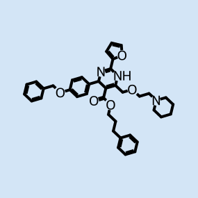 O=C(OCCCc1ccccc1)C1=C(COCCN2CCCCC2)NC(c2ccco2)=NC1c1ccc(OCc2ccccc2)cc1